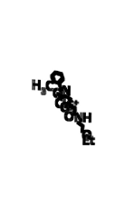 CCOCCCNC(=O)C[S+]([O-])Cc1nc(-c2ccccc2C)oc1C